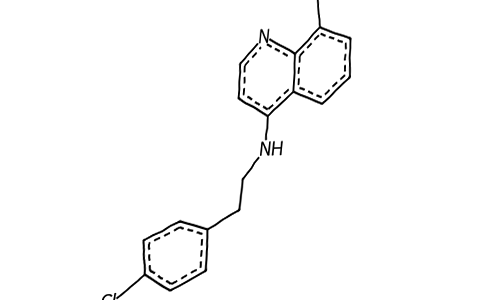 Cc1cccc2c(NCCc3ccc(Cl)cc3)ccnc12